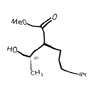 COC(=O)C(CCC(C)C)[C@H](C)O